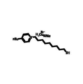 CCCCc1cc[n+](CCCCCCCCCS)cc1.CNC.[Br-]